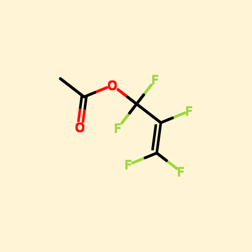 CC(=O)OC(F)(F)C(F)=C(F)F